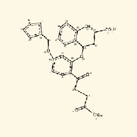 COC(=O)CCC(=O)c1ccc(OCc2ccsc2)cc1OC(CCC(=O)O)c1ccccc1C